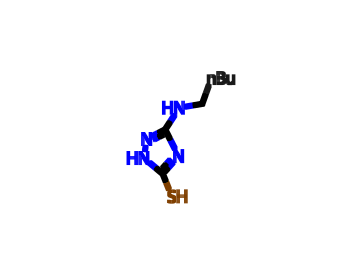 CCCCCNc1n[nH]c(S)n1